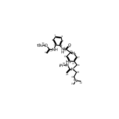 C=C(Nc1ccccc1NC(=O)c1ccc(CN(CCN(C)C)C(=C)NC(C)C)cn1)OC(C)(C)C